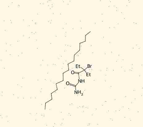 CCC(Br)(CC)C(=O)NC(N)=O.CCCCCCCCCCCCCCCCC